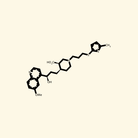 COc1ccc2nccc([C@H](O)CC[C@@H]3CCN(CCCSc4ccc(C)s4)C[C@@H]3C(=O)O)c2c1